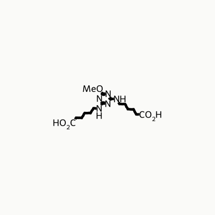 COc1nc(NCCCCCC(=O)O)nc(NCCCCCC(=O)O)n1